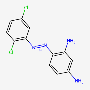 Nc1ccc(/N=N/c2cc(Cl)ccc2Cl)c(N)c1